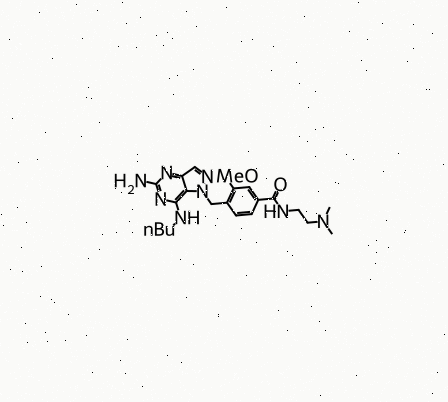 CCCCNc1nc(N)nc2cnn(Cc3ccc(C(=O)NCCN(C)C)cc3OC)c12